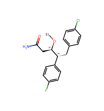 CCO[C@H](CC(N)=O)[C@H](Cc1ccc(Cl)cc1)c1ccc(F)cc1